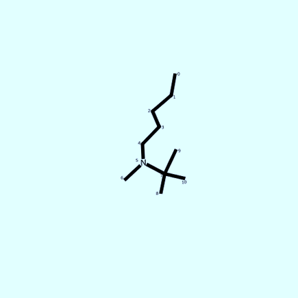 CCCCCN(C)C(C)(C)C